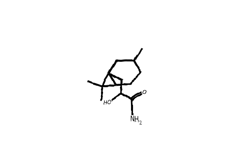 CC1CCC2C(C)(C)C2(CC(O)C(N)=O)C1